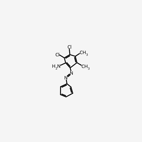 Cc1c(C)c(N=Nc2ccccc2)c(N)c(Cl)c1Cl